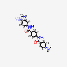 CN(C)c1ccc(C(=O)Nc2ccc(C(=O)Nc3ccc4[nH]cnc4c3)cc2)cc1